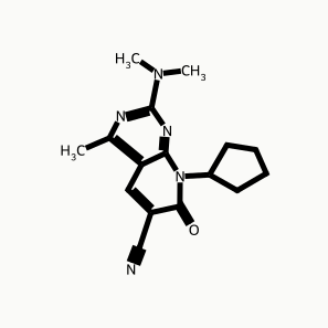 Cc1nc(N(C)C)nc2c1cc(C#N)c(=O)n2C1CCCC1